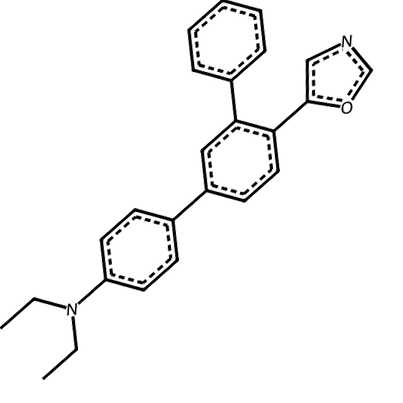 CCN(CC)c1ccc(-c2ccc(-c3cnco3)c(-c3ccccc3)c2)cc1